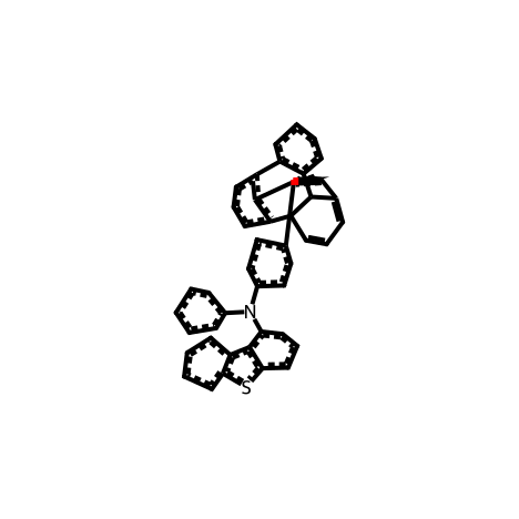 C1=CC2c3cccc4c3-c3cc(-c5ccc(N(c6ccccc6)c6cccc7sc8ccccc8c67)cc5)ccc3C(=C1)C2c1ccccc1-4